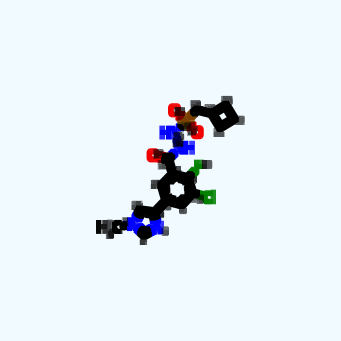 Cn1cnc(-c2cc(Cl)c(F)c(C(=O)NNS(=O)(=O)CC3CCC3)c2)c1